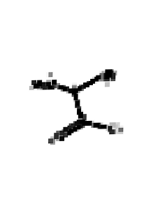 CCCC(OC)C(=O)Cl